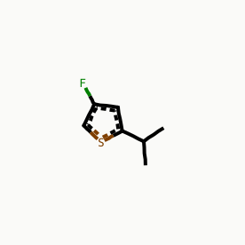 CC(C)c1cc(F)cs1